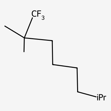 CC(C)CCCCC(C)(C)C(F)(F)F